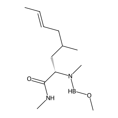 C/C=C/CC(C)C[C@@H](C(=O)NC)N(C)BOC